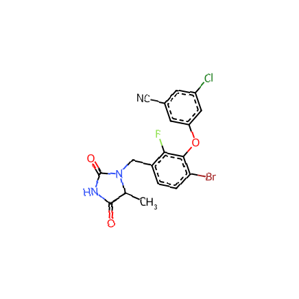 CC1C(=O)NC(=O)N1Cc1ccc(Br)c(Oc2cc(Cl)cc(C#N)c2)c1F